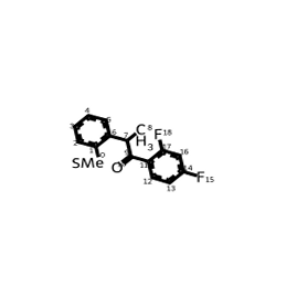 CSc1ccccc1C(C)C(=O)c1ccc(F)cc1F